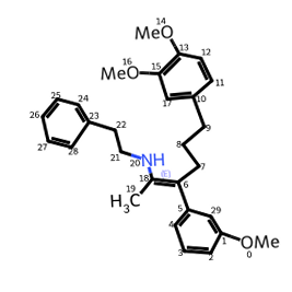 COc1cccc(/C(CCCc2ccc(OC)c(OC)c2)=C(\C)NCCc2ccccc2)c1